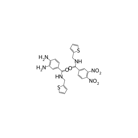 Nc1ccc(C(=O)NCc2cccs2)cc1N.O=C(NCc1cccs1)c1ccc([N+](=O)[O-])c([N+](=O)[O-])c1